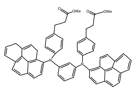 COC(=O)CCc1ccc(N(c2cccc(N(c3ccc(CCC(=O)OC)cc3)c3ccc4ccc5cccc6ccc3c4c56)c2)c2ccc3ccc4c5c3c2CC=C5CC=C4)cc1